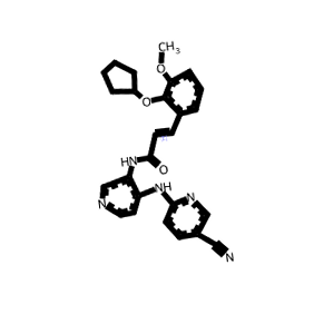 COc1cccc(/C=C/C(=O)Nc2cnccc2Nc2ccc(C#N)cn2)c1OC1CCCC1